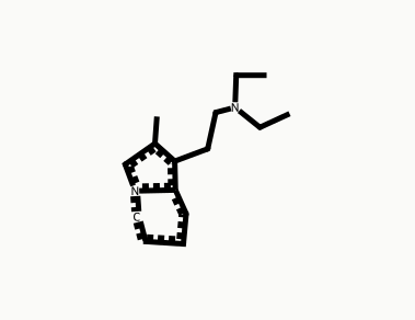 CCN(CC)CCc1c(C)cn2ccccc12